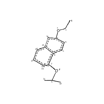 CCOc1ccc2c(OC(C)C)nccc2c1